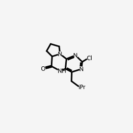 CC(C)Cc1nc(Cl)nc2c1NC(=O)C1CCCN21